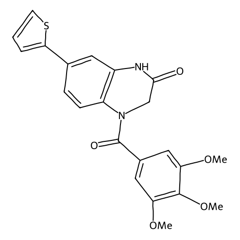 COc1cc(C(=O)N2CC(=O)Nc3cc(-c4cccs4)ccc32)cc(OC)c1OC